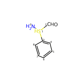 N[SH](C=O)c1ccccc1